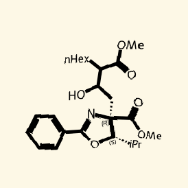 CCCCCCC(C(=O)OC)C(O)C[C@@]1(C(=O)OC)N=C(c2ccccc2)O[C@H]1C(C)C